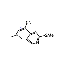 CSc1nccc(/C(C#N)=C\N(C)C)n1